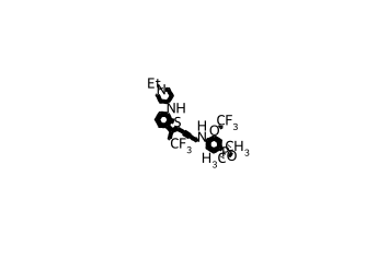 CCN1CCC(Nc2cccc3c(CC(F)(F)F)c(C#CCNc4ccc(P(C)(C)=O)cc4OCC(F)(F)F)sc23)CC1